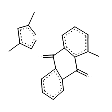 Cc1csc(C)c1.O=C1c2ccccc2C(=O)c2c(Cl)cccc21